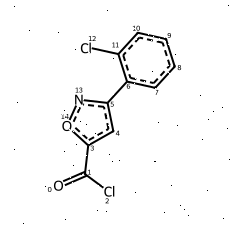 O=C(Cl)c1cc(-c2ccccc2Cl)no1